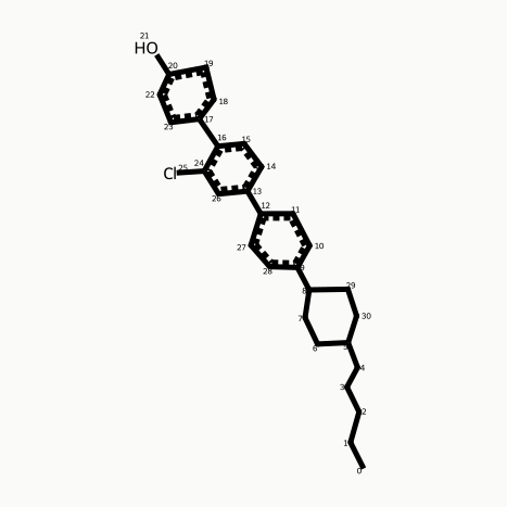 CCCCCC1CCC(c2ccc(-c3ccc(-c4ccc(O)cc4)c(Cl)c3)cc2)CC1